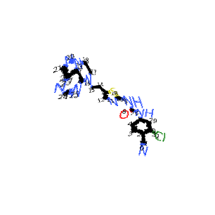 N#Cc1ccc(NC(=O)Nc2ncc(CCN3CCn4ncc5ncnc3c54)s2)cc1Cl